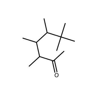 CC(=O)C(C)C(C)C(C)C(C)(C)C